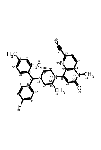 Cc1ccc(C(c2ccc(F)cc2)N2C[C@H](C)N(c3cc(=O)n(C)c4ccc(C#N)nc34)C[C@H]2C)cc1